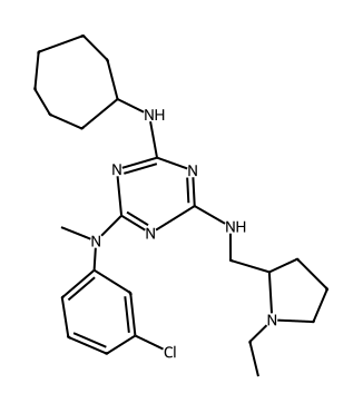 CCN1CCCC1CNc1nc(NC2CCCCCC2)nc(N(C)c2cccc(Cl)c2)n1